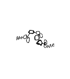 COC(=O)c1cccc(OC(=O)Oc2cccc(C(=O)OC)c2)c1